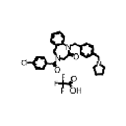 O=C(O)C(F)(F)F.O=C(c1ccc(Cl)cc1)N1CC(=O)N(Cc2ccc(CN3CCCC3)cc2)c2ccccc2C1